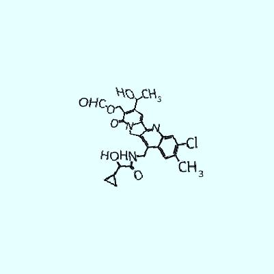 Cc1cc2c(CNC(=O)C(O)C3CC3)c3c(nc2cc1Cl)-c1cc(C(C)O)c(COC=O)c(=O)n1C3